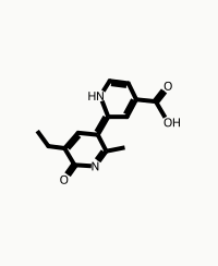 CCC1=CC(=C2C=C(C(=O)O)C=CN2)C(C)=NC1=O